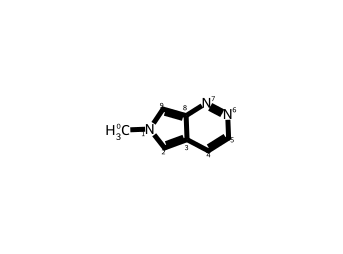 Cn1cc2ccnnc2c1